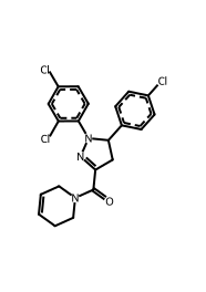 O=C(C1=NN(c2ccc(Cl)cc2Cl)C(c2ccc(Cl)cc2)C1)N1CC=CCC1